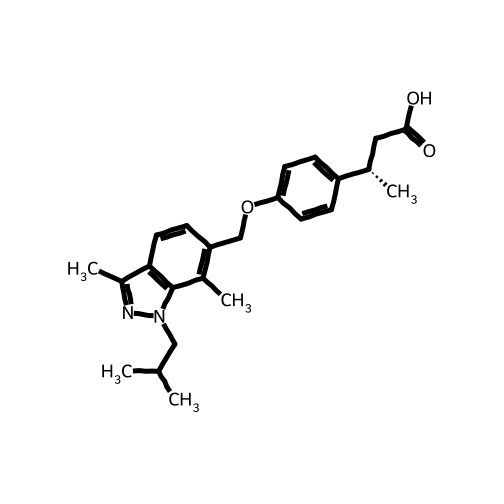 Cc1nn(CC(C)C)c2c(C)c(COc3ccc([C@@H](C)CC(=O)O)cc3)ccc12